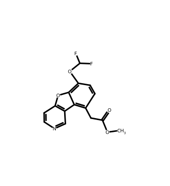 COC(=O)Cc1ccc(OC(F)F)c2oc3ccncc3c12